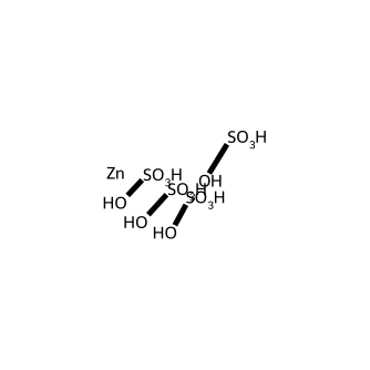 O=S(=O)(O)O.O=S(=O)(O)O.O=S(=O)(O)O.O=S(=O)(O)O.[Zn]